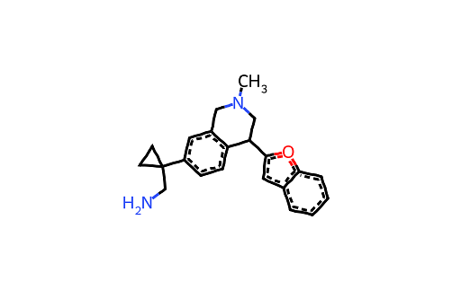 CN1Cc2cc(C3(CN)CC3)ccc2C(c2cc3ccccc3o2)C1